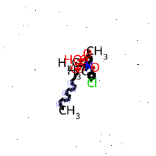 CC/C=C\C/C=C\C/C=C\C/C=C\C/C=C\CCCC(=O)OC(CC)(C(=O)O)c1c(C)n(C(=O)c2ccc(Cl)cc2)c2ccc(OC)cc12